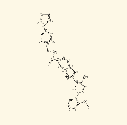 COc1ncccc1-c1ccc(O)c(-c2nc3ccc(C(=O)NCc4ccc(-n5cccn5)cc4)cc3[nH]2)c1